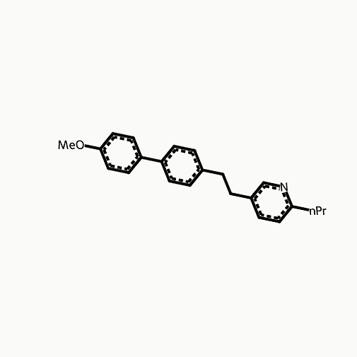 CCCc1ccc(CCc2ccc(-c3ccc(OC)cc3)cc2)cn1